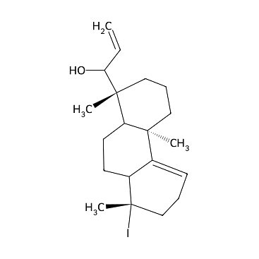 C=CC(O)[C@]1(C)CCC[C@@]2(C)C3=CCC[C@](C)(I)C3CCC12